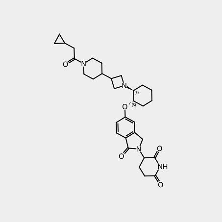 O=C1CCC(N2Cc3cc(O[C@H]4CCCC[C@@H]4N4CC(C5CCN(C(=O)CC6CC6)CC5)C4)ccc3C2=O)C(=O)N1